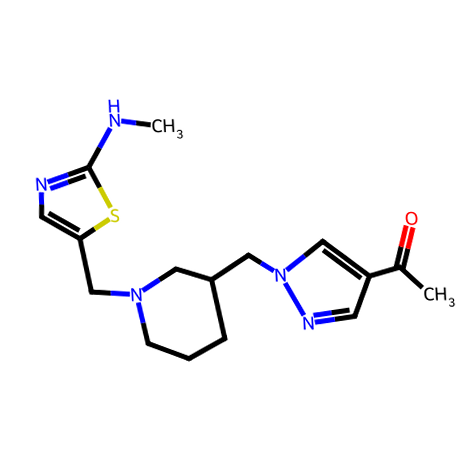 CNc1ncc(CN2CCCC(Cn3cc(C(C)=O)cn3)C2)s1